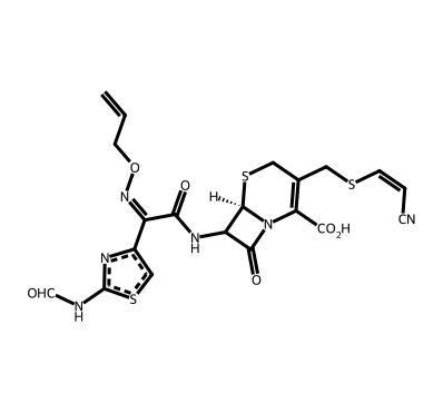 C=CCO/N=C(\C(=O)NC1C(=O)N2C(C(=O)O)=C(CS/C=C\C#N)CS[C@H]12)c1csc(NC=O)n1